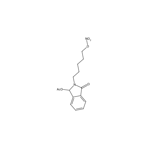 CC(=O)OC1c2ccccc2C(=O)N1CCCCCO[N+](=O)[O-]